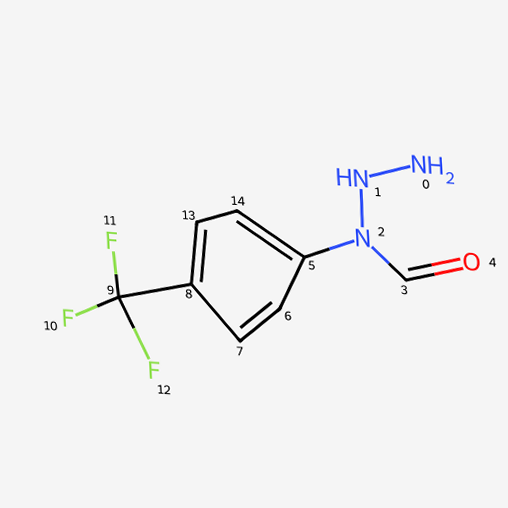 NNN(C=O)c1ccc(C(F)(F)F)cc1